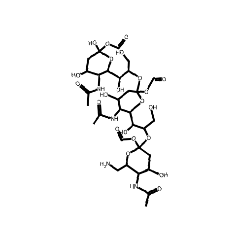 CC(=O)NC1C(O)CC(OC=O)(OC(CO)C(O)C2OC(OC=O)(OC(CO)C(O)C3OC(O)(OC=O)CC(O)C3NC(C)=O)CC(O)C2NC(C)=O)OC1CN